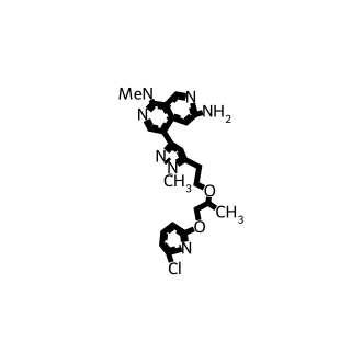 CNc1ncc(-c2cc(CCOC(C)COc3cccc(Cl)n3)n(C)n2)c2cc(N)ncc12